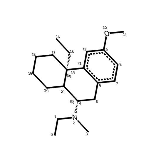 CCN(C)[C@H]1Cc2ccc(OC)cc2[C@]2(CC)CCCCC12